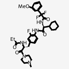 CCC(=O)N[C@H](Cc1ccc(NC(=O)[C@@H](NC(=O)C(F)(F)c2cccc(OC)c2)C2CCCCC2)c(F)c1)C(=O)N1CCN(C)CC1